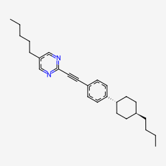 CCCCCc1cnc(C#Cc2ccc([C@H]3CC[C@H](CCCC)CC3)cc2)nc1